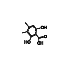 Cc1cc(O)c(C(=O)O)c(O)c1C